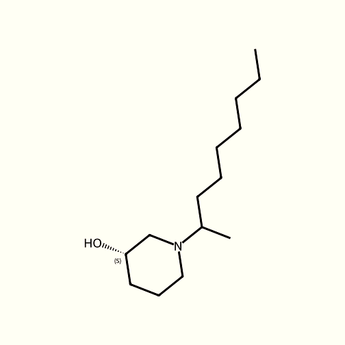 CCCCCCCC(C)N1CCC[C@H](O)C1